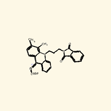 CO/N=c1\c2ccccc2n(CCCN2C(=O)c3ccccc3C2=O)c2c(C)c(C)ccc12